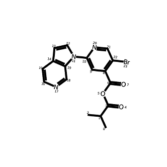 CC(C)C(=O)OC(=O)c1cc(-n2ccc3ccncc32)ncc1Br